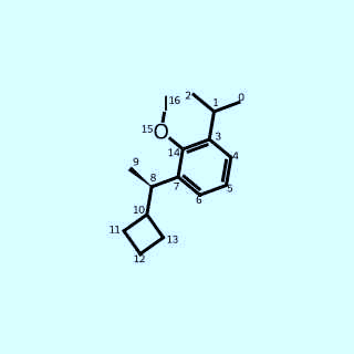 CC(C)c1cccc([C@H](C)C2CCC2)c1OI